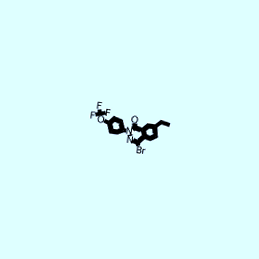 CCc1ccc2c(Br)nn(-c3ccc(OC(F)(F)F)cc3)c(=O)c2c1